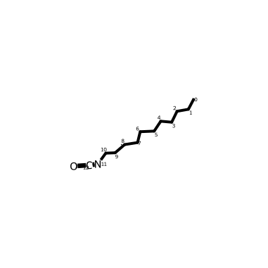 CCCCCCCC[CH]CCN=C=O